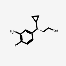 Nc1cc([C@@H](CCO)C2CC2)ccc1F